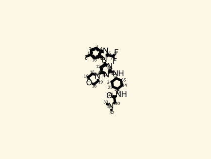 Cc1ccc2nc(C(F)F)n(-c3cc(N4CCOCC4)nc(N[C@H]4CC[C@H](NC(=O)CN(C)C)CC4)n3)c2c1